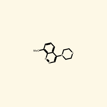 COc1cccc2c(N3CCSCC3)cnnc12